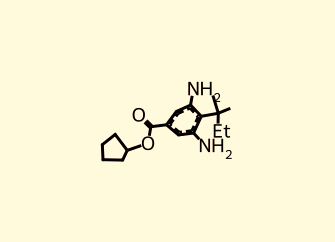 CCC(C)(C)c1c(N)cc(C(=O)OC2CCCC2)cc1N